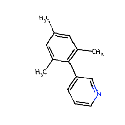 Cc1cc(C)c(-c2cccnc2)c(C)c1